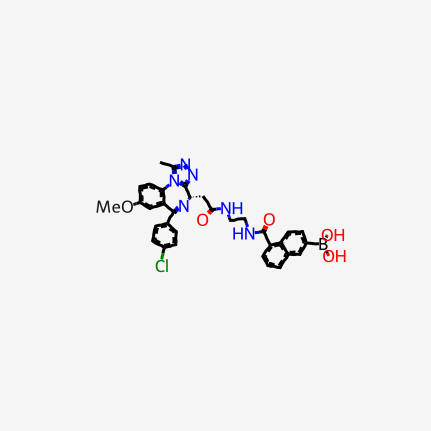 COc1ccc2c(c1)C(c1ccc(Cl)cc1)=N[C@@H](CC(=O)NCCNC(=O)c1cccc3cc(B(O)O)ccc13)c1nnc(C)n1-2